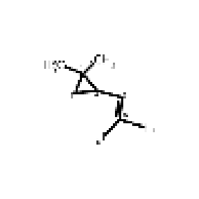 CC1(C)CC1C=C(I)I